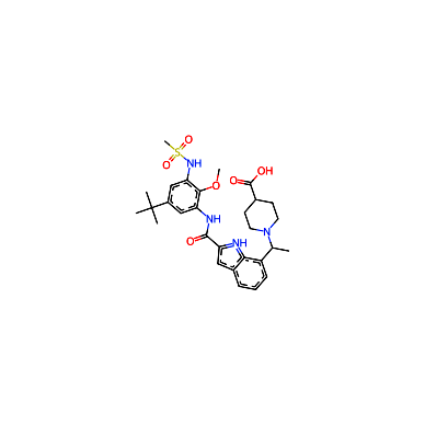 COc1c(NC(=O)c2cc3cccc(C(C)N4CCC(C(=O)O)CC4)c3[nH]2)cc(C(C)(C)C)cc1NS(C)(=O)=O